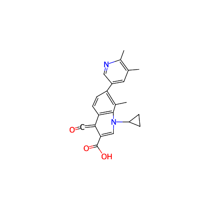 Cc1cc(-c2ccc3c(c2C)N(C2CC2)C=C(C(=O)O)C3=C=O)cnc1C